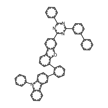 c1ccc(-c2cccc(-c3nc(-c4ccccc4)nc(-c4ccc5c(c4)oc4c(-c6ccccc6-c6ccc7c(c6)c6ccccc6n7-c6ccccc6)cccc45)n3)c2)cc1